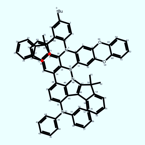 CC(C)(C)c1ccc(N2c3cc4c(cc3B3c5c(cc6c(c52)C(C)(C)c2ccccc2-6)-c2ccc(N(c5ccccc5)c5ccccc5)c5c6c(n3c25)C(C)(C)c2ccccc2-6)Oc2ccccc2O4)c(-c2ccccc2)c1